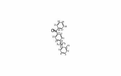 Cc1ccccc1[Si](C)(C)c1ccc(C(=O)c2ccccc2)cc1